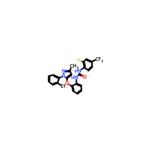 CCc1ccccc1-n1nc(C)cc1Oc1ccccc1NC(=O)Nc1ccc(C(F)(F)F)cc1F